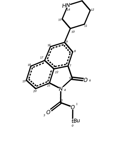 CC(C)(C)OC(=O)N1C(=O)c2cc(C3CCCNC3)cc3cccc1c23